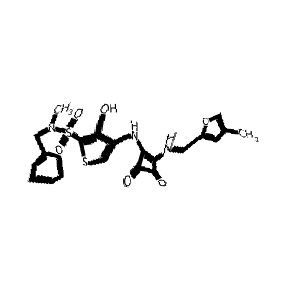 Cc1coc(CNc2c(Nc3csc(S(=O)(=O)N(C)Cc4ccccc4)c3O)c(=O)c2=O)c1